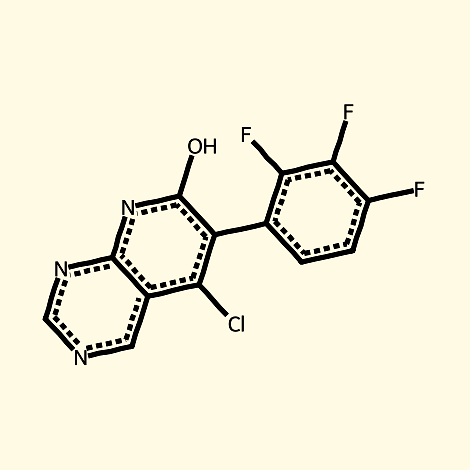 Oc1nc2ncncc2c(Cl)c1-c1ccc(F)c(F)c1F